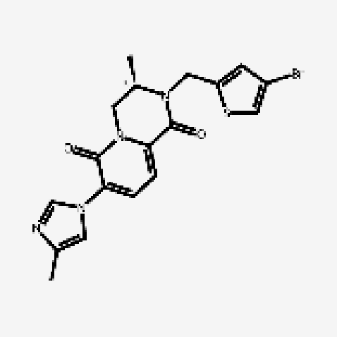 Cc1cn(-c2ccc3n(c2=O)C[C@@H](C)N(Cc2cc(Br)cs2)C3=O)cn1